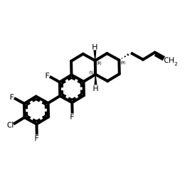 C=CCC[C@@H]1CC[C@@H]2c3cc(F)c(-c4cc(F)c(Cl)c(F)c4)c(F)c3CC[C@@H]2C1